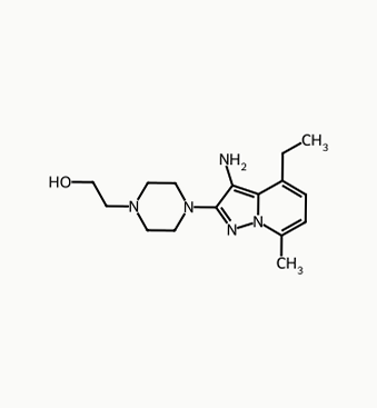 CCc1ccc(C)n2nc(N3CCN(CCO)CC3)c(N)c12